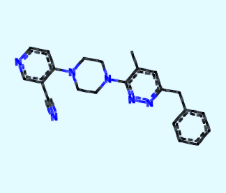 Cc1cc(Cc2ccccc2)nnc1N1CCN(c2ccncc2C#N)CC1